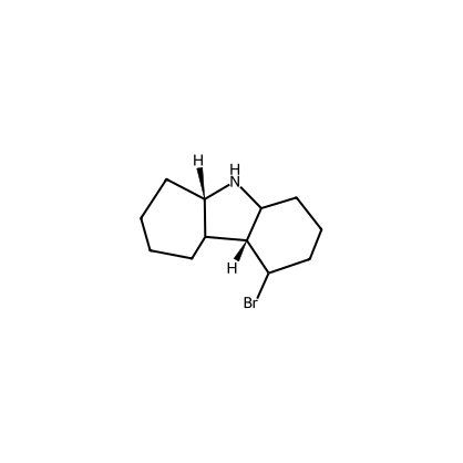 BrC1CCCC2N[C@H]3CCCCC3[C@@H]12